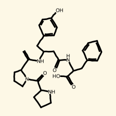 C=C(NC(CC(=O)NC(Cc1ccccc1)C(=O)O)Cc1ccc(O)cc1)C1CCCN1C(=O)C1CCCN1